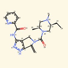 C=C1c2[nH]nc(NC(=O)c3ccccn3)c2CN1C(=O)N1C[C@H](CC)N(C)C[C@@H]1C